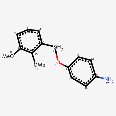 COc1cccc([SiH2]Oc2ccc(N)cc2)c1OC